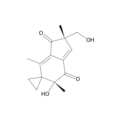 CC1=C2C(=O)[C@](C)(CO)C=C2C(=O)[C@](C)(O)C12CC2